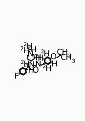 [2H]c1c([2H])c(OCC(C)C)c([2H])c([2H])c1CNC(=O)N(C1CCN(C([2H])([2H])[2H])CC1)C([2H])([2H])c1ccc(F)cc1